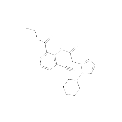 CCOC(=O)c1cccc(C#N)c1NC(=O)C[n+]1cccn1C1CCCCC1